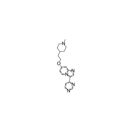 CN1CCC(CCOc2ccn3c(-c4ccncn4)cnc3c2)CC1